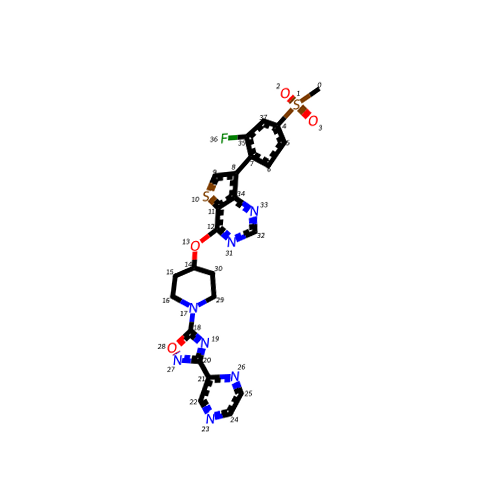 CS(=O)(=O)c1ccc(-c2csc3c(OC4CCN(c5nc(-c6cnccn6)no5)CC4)ncnc23)c(F)c1